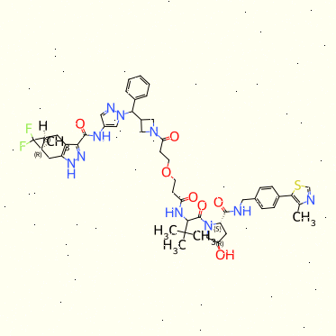 Cc1ncsc1-c1ccc(CNC(=O)[C@@H]2C[C@@H](O)CN2C(=O)C(NC(=O)CCOCCC(=O)N2CC(C(c3ccccc3)n3cc(NC(=O)c4n[nH]c5c4C[C@@H]4C(F)(F)[C@]4(C)C5)cn3)C2)C(C)(C)C)cc1